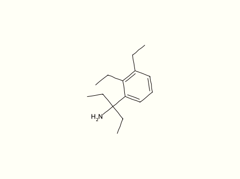 CCc1cccc(C(N)(CC)CC)c1CC